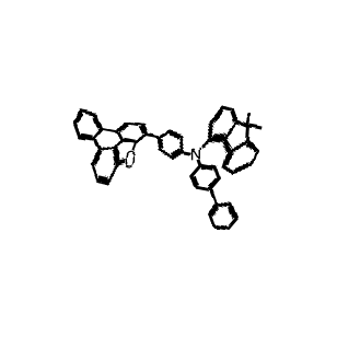 CC1(C)c2ccccc2-c2c(N(c3ccc(-c4ccccc4)cc3)c3ccc(-c4ccc5c6ccccc6c6cccc7oc4c5c76)cc3)cccc21